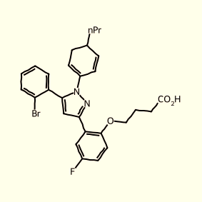 CCCC1C=CC(n2nc(-c3cc(F)ccc3OCCCC(=O)O)cc2-c2ccccc2Br)=CC1